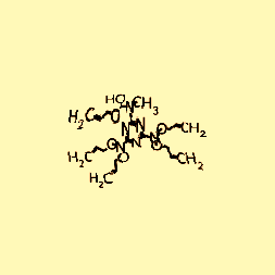 C=CCOC(O)N(C)c1nc(N(OCC=C)OCC=C)nc(N(OCC=C)OCC=C)n1